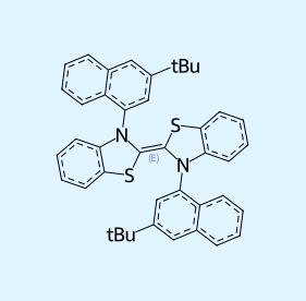 CC(C)(C)c1cc(N2/C(=C3\Sc4ccccc4N3c3cc(C(C)(C)C)cc4ccccc34)Sc3ccccc32)c2ccccc2c1